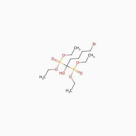 CCOP(=O)(OCC)C(O)(CCCCBr)P(=O)(OCC)OCC